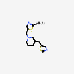 CC(=O)Nc1ncc(CN2CCCC(Cc3cncs3)C2)s1